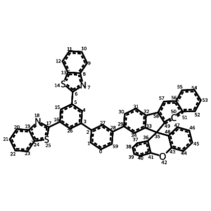 c1cc(-c2cc(-c3nc4ccccc4s3)cc(-c3nc4ccccc4s3)c2)cc(-c2ccc3c(c2)C2(c4ccccc4Oc4ccccc42)c2cc4ccccc4cc2-3)c1